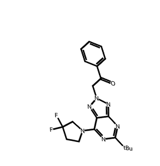 CC(C)(C)c1nc(N2CCC(F)(F)C2)c2nn(CC(=O)c3ccccc3)nc2n1